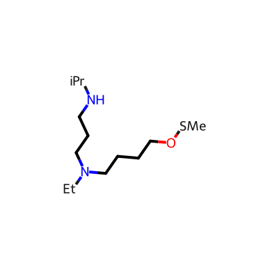 CCN(CCCCOSC)CCCNC(C)C